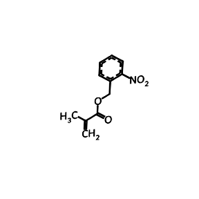 C=C(C)C(=O)OCc1ccccc1[N+](=O)[O-]